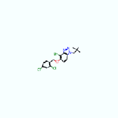 CC(C)(C)Cn1nnc2c(Br)c(OCc3ccc(Cl)cc3Cl)ccc21